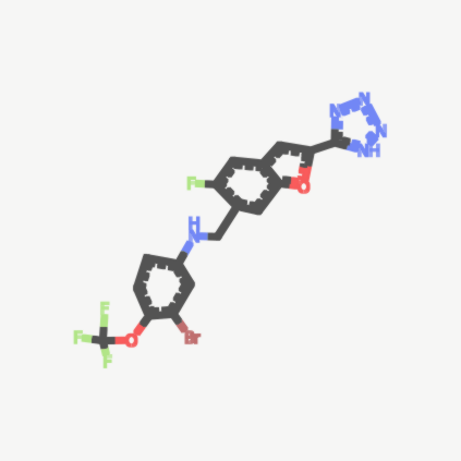 Fc1cc2cc(-c3nnn[nH]3)oc2cc1CNc1ccc(OC(F)(F)F)c(Br)c1